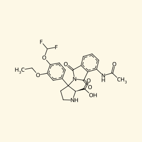 CCOc1cc(C2(N3C(=O)c4cccc(NC(C)=O)c4C3=O)CCN[C@@H]2C(=O)O)ccc1OC(F)F